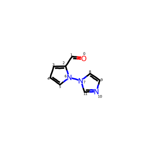 O=Cc1cccn1-n1ccnc1